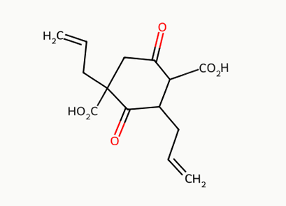 C=CCC1C(=O)C(CC=C)(C(=O)O)CC(=O)C1C(=O)O